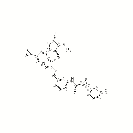 O=C(Nc1cc(NCc2cn3cc(C4CC4)cc(N4CC(=O)N(CC(F)(F)F)C4=O)c3n2)ncn1)[C@H]1C[C@@H]1c1cccc(Cl)c1